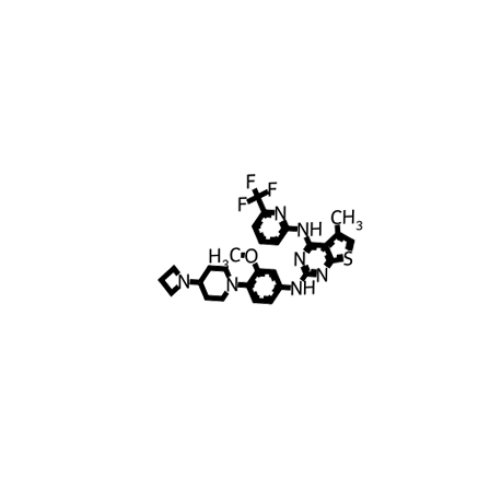 COc1cc(Nc2nc(Nc3cccc(C(F)(F)F)n3)c3c(C)csc3n2)ccc1N1CCC(N2CCC2)CC1